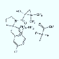 CC1(C)C[C@]1(O)C(=O)N1CCC[C@]1(Cc1cc(Cl)ccc1CN)C(N)=O.O=C(O)C(F)(F)F